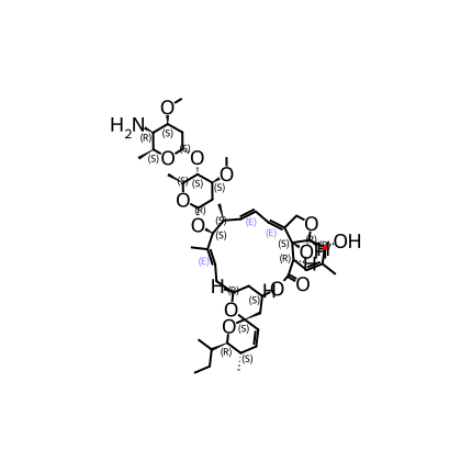 CCC(C)[C@H]1O[C@]2(C=C[C@@H]1C)C[C@@H]1C[C@@H](C/C=C(\C)[C@@H](O[C@H]3C[C@H](OC)[C@@H](O[C@H]4C[C@H](OC)[C@H](N)[C@H](C)O4)[C@H](C)O3)[C@@H](C)/C=C/C=C3\CO[C@@H]4[C@H](O)C(C)=C[C@@H](C(=O)O1)[C@]34O)O2